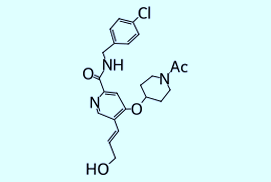 CC(=O)N1CCC(Oc2cc(C(=O)NCc3ccc(Cl)cc3)ncc2/C=C/CO)CC1